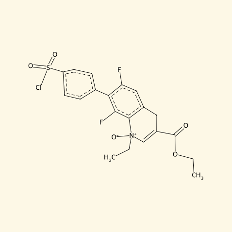 CCOC(=O)C1=C[N+]([O-])(CC)c2c(cc(F)c(-c3ccc(S(=O)(=O)Cl)cc3)c2F)C1